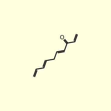 C=CC=CCC=CC(=O)C=C